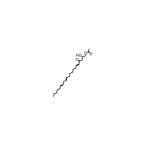 CCCCCC=CCC=CCCCCCC=CC(=O)CC(O)COC(C)=O